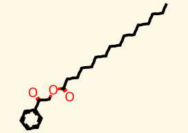 CCCCCCCCCCCCCCCC(=O)OCC(=O)c1ccccc1